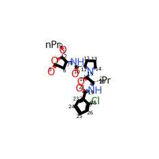 CCCO[C@H]1OC(=O)C[C@@H]1NC(=O)[C@@H]1CCCN1C(=O)[C@@H](NC(=O)c1ccccc1Cl)C(C)C